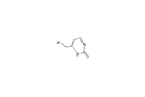 CC(C)Cc1ccnc(=O)[nH]1